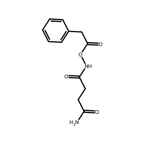 NC(=O)CCC(=O)NOC(=O)Cc1ccccc1